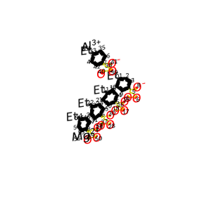 CCc1ccc(S(=O)(=O)[O-])cc1.CCc1ccc(S(=O)(=O)[O-])cc1.CCc1ccc(S(=O)(=O)[O-])cc1.CCc1ccc(S(=O)(=O)[O-])cc1.CCc1ccc(S(=O)(=O)[O-])cc1.[Al+3].[Mg+2]